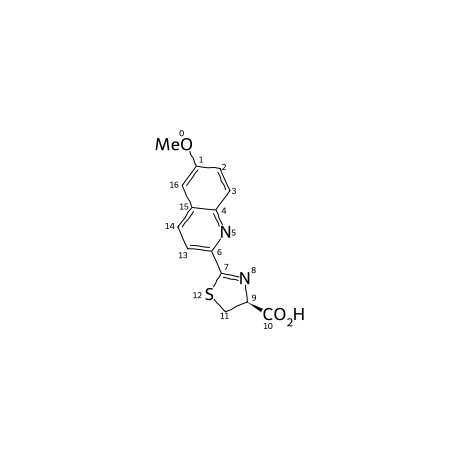 COc1ccc2nc(C3=N[C@@H](C(=O)O)CS3)ccc2c1